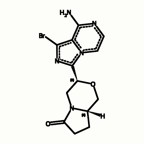 Nc1nccn2c([C@H]3CN4C(=O)CC[C@@H]4CO3)nc(Br)c12